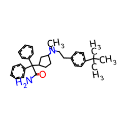 CN(CCc1ccc(C(C)(C)C)cc1)C1CCC(C(C(N)=O)(c2ccccc2)c2ccccc2)C1